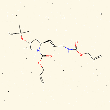 C=CCOC(=O)NC/C=C/[C@@H]1C[C@@H](O[Si](C)(C)C(C)(C)C)CN1C(=O)OCC=C